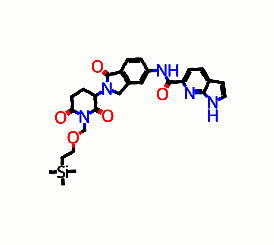 C[Si](C)(C)CCOCN1C(=O)CCC(N2Cc3cc(NC(=O)c4ccc5cc[nH]c5n4)ccc3C2=O)C1=O